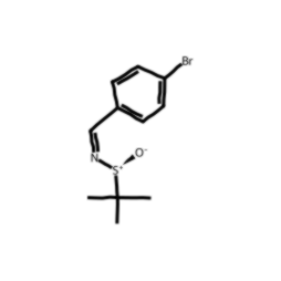 CC(C)(C)[S@+]([O-])/N=C\c1ccc(Br)cc1